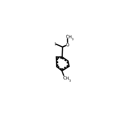 COC(I)c1ccc(C)cc1